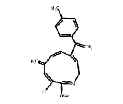 C=C1/C=C\C(C(=C)c2ccc(C)cc2)=C/C/N=C(OC)\C(CC)=C/1